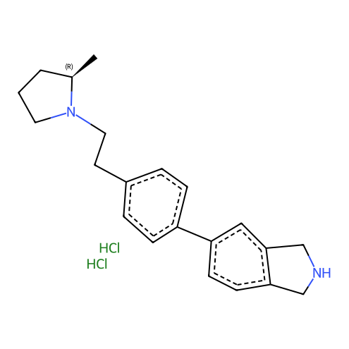 C[C@@H]1CCCN1CCc1ccc(-c2ccc3c(c2)CNC3)cc1.Cl.Cl